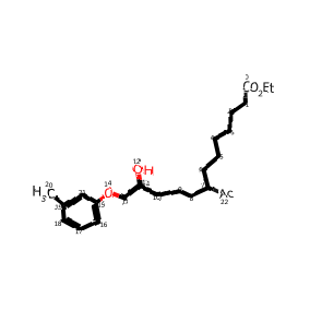 CCOC(=O)CCCCCCC(CCCC(O)COc1cccc(C)c1)C(C)=O